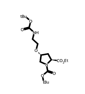 CCOC(=O)[C@@H]1C[C@@H](OCCNC(=O)OC(C)(C)C)CN1C(=O)OC(C)(C)C